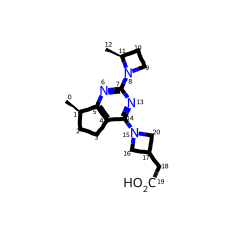 C[C@@H]1CCc2c1nc(N1CC[C@@H]1C)nc2N1CC(CC(=O)O)C1